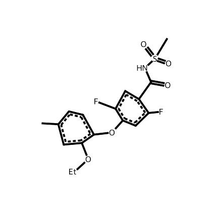 CCOc1cc(C)ccc1Oc1cc(F)c(C(=O)NS(C)(=O)=O)cc1F